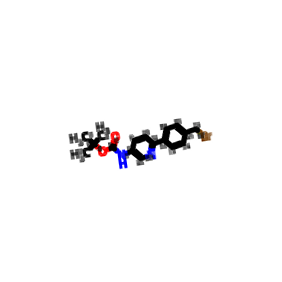 CC(C)(C)OC(=O)Nc1ccc(-c2ccc(CBr)cc2)nc1